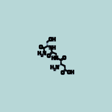 NC(=O)[C@H](CO)NC(=O)CNC(=O)[C@@H](N)CC(=O)O